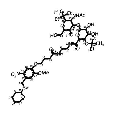 CCC(C)(CC)OC1C(C(=O)NCCNC(=O)CCCOc2cc([N+](=O)[O-])c(CSC3CCCCO3)cc2OC)OC(OC2C(O)C(CO)OC(C(C)(CC)CC)C2NC(C)=O)C(O)C1O